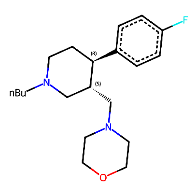 CCCCN1CC[C@@H](c2ccc(F)cc2)[C@H](CN2CCOCC2)C1